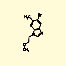 COCCn1cnc2cc(Br)c(C)nc21